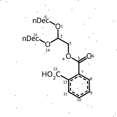 CCCCCCCCCCOC(COC(=O)c1ccccc1C(=O)O)OCCCCCCCCCC